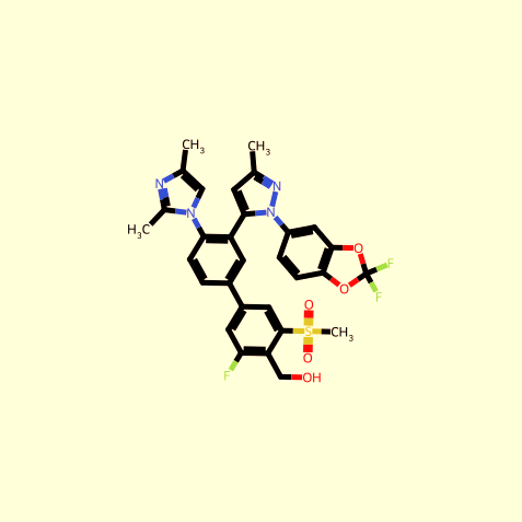 Cc1cn(-c2ccc(-c3cc(F)c(CO)c(S(C)(=O)=O)c3)cc2-c2cc(C)nn2-c2ccc3c(c2)OC(F)(F)O3)c(C)n1